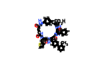 Cc1ccccc1-c1ccc(C[C@@H]2NC(=O)[C@@H](Cc3cccs3)NC(=O)CCC(=O)Nc3ccc(cc3)C[C@@H](C(=O)O)NC(=O)[C@@H](Cc3ccccc3)NC2=O)cc1